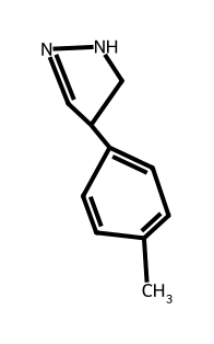 Cc1ccc(C2C=NNC2)cc1